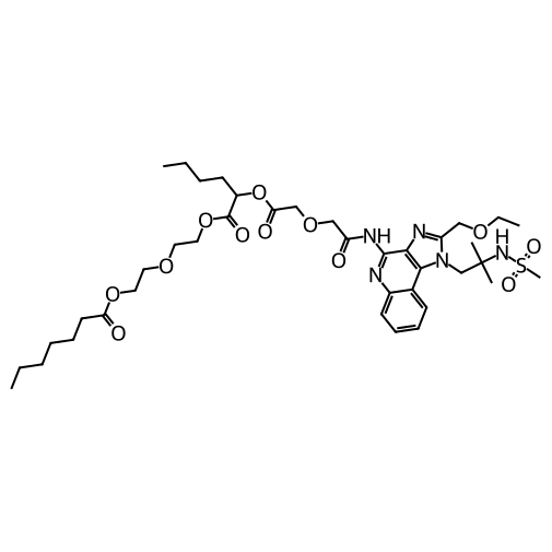 CCCCCCC(=O)OCCOCCOC(=O)C(CCCC)OC(=O)COCC(=O)Nc1nc2ccccc2c2c1nc(COCC)n2CC(C)(C)NS(C)(=O)=O